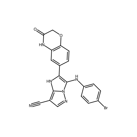 N#Cc1cnn2c(Nc3ccc(Br)cc3)c(-c3ccc4c(c3)NC(=O)CO4)[nH]c12